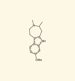 COc1ccc2c3c([nH]c2c1)CC(C)N(C)CC3